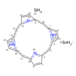 C1=Cc2cc3ccc(cc4nc(cc5ccc(cc1n2)[nH]5)C=C4)[nH]3.[SiH4].[SnH2]